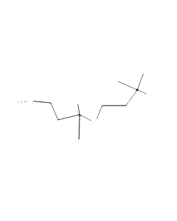 CSCCC(C)(C)OCCC(C)(C)C(C)=O